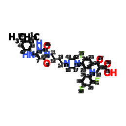 CCc1cc(Nc2cc(=O)n(CCCCN3CCN(c4cc5c(cc4F)c(=O)c(C(=O)O)cn5-c4ccc(F)cc4F)CC3)c(=O)[nH]2)ccc1C